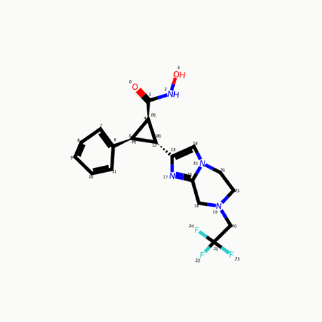 O=C(NO)[C@@H]1[C@H](c2ccccc2)[C@H]1c1cn2c(n1)CN(CC(F)(F)F)CC2